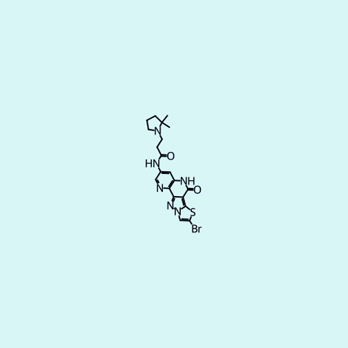 CC1(C)CCCN1CCC(=O)Nc1cnc2c(c1)[nH]c(=O)c1c2nn2cc(Br)sc12